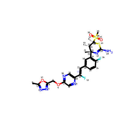 Cc1nnc(COc2cnc(/C(F)=C/c3ccc(F)c([C@@]4(C)N=C(N)S[C@](C)(S(C)(=O)=O)[C@H]4C)c3)cn2)o1